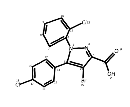 O=C(O)c1nn(-c2ccccc2Cl)c(-c2ccc(Cl)cc2)c1Br